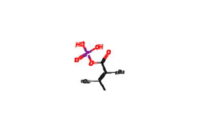 CCCCC(C)=C(CCCC)C(=O)OP(=O)(O)O